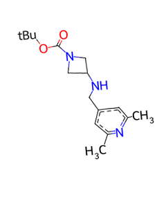 Cc1cc(CNC2CN(C(=O)OC(C)(C)C)C2)cc(C)n1